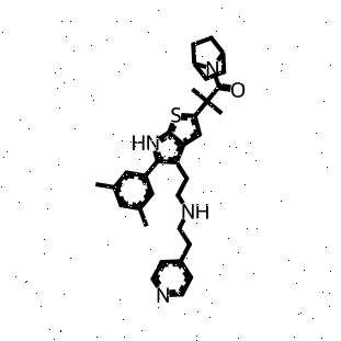 Cc1cc(C)cc(-c2[nH]c3sc(C(C)(C)C(=O)N4C5CCC4CC5)cc3c2CCNCCc2ccncc2)c1